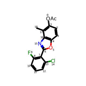 CC(=O)Oc1ccc2oc(-c3c(F)cccc3Cl)nc2c1C